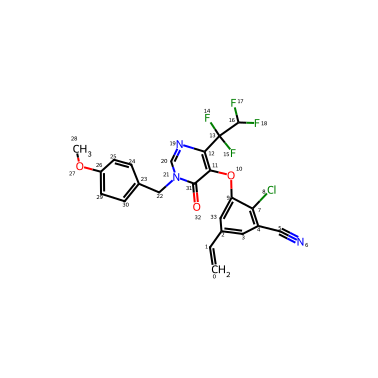 C=Cc1cc(C#N)c(Cl)c(Oc2c(C(F)(F)C(F)F)ncn(Cc3ccc(OC)cc3)c2=O)c1